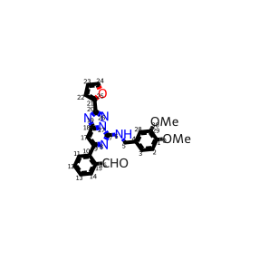 COc1ccc(CNc2nc(-c3ccccc3C=O)cc3nc(-c4ccco4)nn23)cc1OC